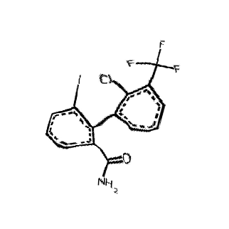 NC(=O)c1cccc(I)c1-c1cccc(C(F)(F)F)c1Cl